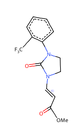 COC(=O)/C=C/N1CCN(c2ccccc2C(F)(F)F)C1=O